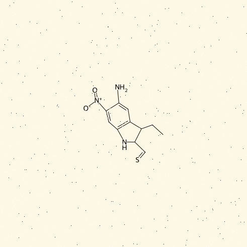 CCC1c2cc(N)c([N+](=O)[O-])cc2NC1C=S